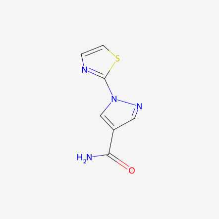 NC(=O)c1cnn(-c2nccs2)c1